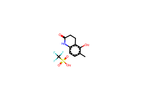 Cc1ccc2c(c1O)CCC(=O)N2.O=S(=O)(O)C(F)(F)F